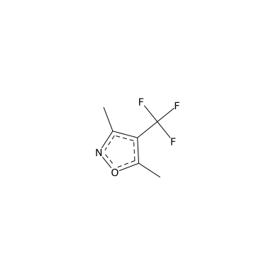 Cc1noc(C)c1C(F)(F)F